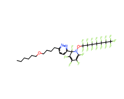 CCCCCCOCCCCc1ccc(C2(F)C(F)=C(F)C(F)=C(F)N2OC(F)(F)C(F)(F)C(F)(F)C(F)(F)C(F)(F)C(F)(F)C(F)(F)F)nn1